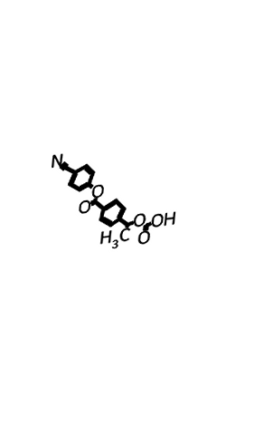 CC(OC(=O)O)c1ccc(C(=O)Oc2ccc(C#N)cc2)cc1